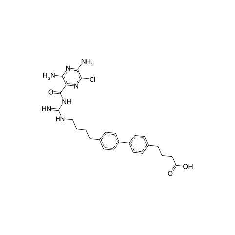 N=C(NCCCCc1ccc(-c2ccc(CCCC(=O)O)cc2)cc1)NC(=O)c1nc(Cl)c(N)nc1N